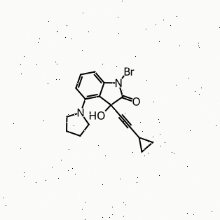 O=C1N(Br)c2cccc(N3CCCC3)c2C1(O)C#CC1CC1